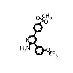 CS(=O)(=O)c1ccc(-c2cnc(N)c(-c3cccc(OC(F)(F)F)c3)c2)cc1